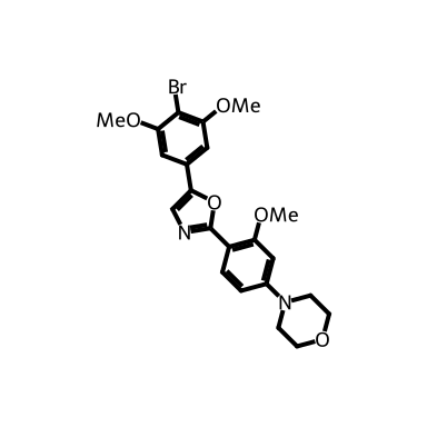 COc1cc(N2CCOCC2)ccc1-c1ncc(-c2cc(OC)c(Br)c(OC)c2)o1